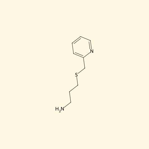 NCCCSCc1ccccn1